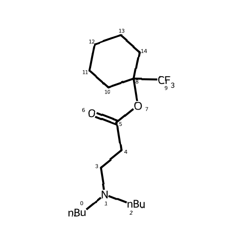 CCCCN(CCCC)CCC(=O)OC1(C(F)(F)F)CCCCC1